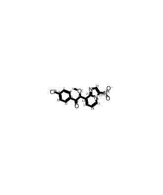 COC(C(=O)c1ccc(Cl)cc1)c1cccn2c([N+](=O)[O-])cnc12